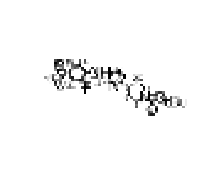 CC(C)(C)OC(=O)N1CCC(c2nc(CNc3ccc(S(C)(=O)=O)cc3F)cs2)CC1